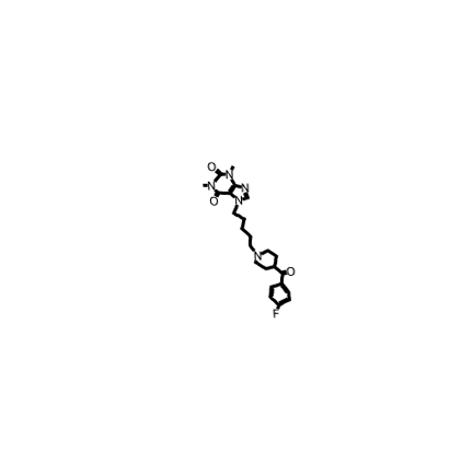 Cn1c(=O)c2c(ncn2CCCCCN2CCC(C(=O)c3ccc(F)cc3)CC2)n(C)c1=O